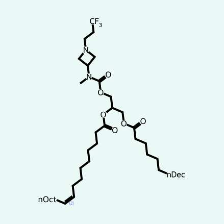 CCCCCCCC/C=C\CCCCCCCC(=O)OC(COC(=O)CCCCCCCCCCCCCCC)COC(=O)N(C)C1CN(CCC(F)(F)F)C1